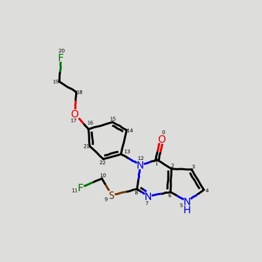 O=c1c2cc[nH]c2nc(SCF)n1-c1ccc(OCCF)cc1